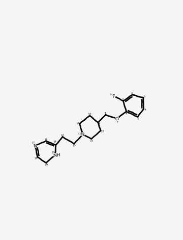 Fc1ccccc1OCC1CCN(CCC2=CN=CCN2)CC1